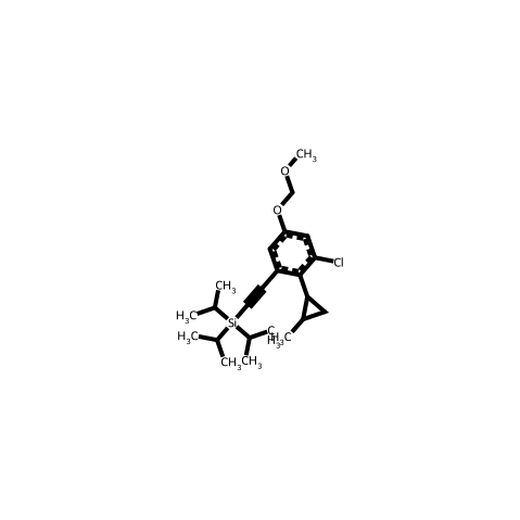 COCOc1cc(Cl)c(C2CC2C)c(C#C[Si](C(C)C)(C(C)C)C(C)C)c1